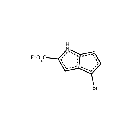 CCOC(=O)c1cc2c(Br)csc2[nH]1